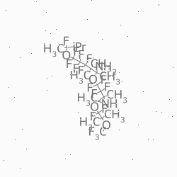 CC(C)C(C)(F)OC(F)(F)C(F)(F)C(F)(F)C(C)(C)C(C)(N)OC(F)(F)C(F)(F)C1(C)NC1(C)OC(F)(F)C(C)(C)OC(F)(F)F